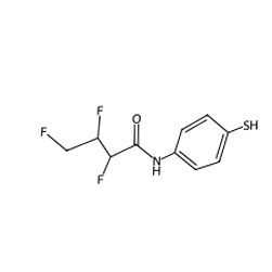 O=C(Nc1ccc(S)cc1)C(F)C(F)CF